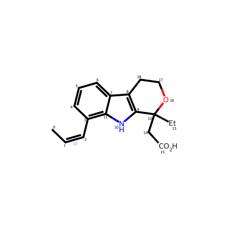 C/C=C\c1cccc2c3c([nH]c12)C(CC)(CC(=O)O)OCC3